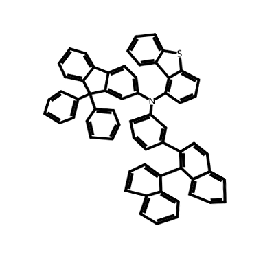 c1ccc(C2(c3ccccc3)c3ccccc3-c3ccc(N(c4cccc(-c5ccc6ccccc6c5-c5cccc6ccccc56)c4)c4cccc5sc6ccccc6c45)cc32)cc1